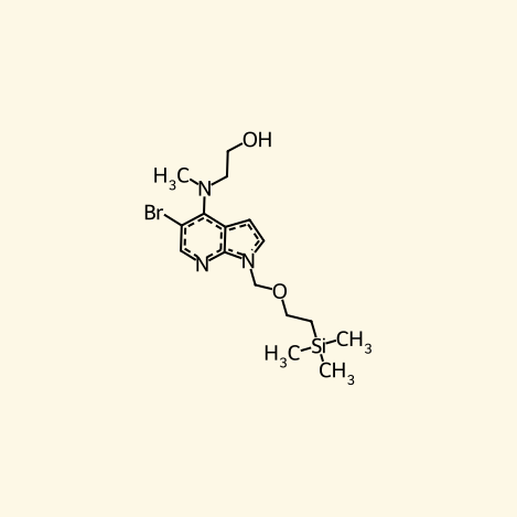 CN(CCO)c1c(Br)cnc2c1ccn2COCC[Si](C)(C)C